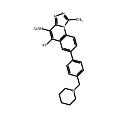 CC(=O)Nc1c(C(C)C)c2cc(-c3ccc(CN4CCCCC4)cc3)ccc2n2c(C)nnc12